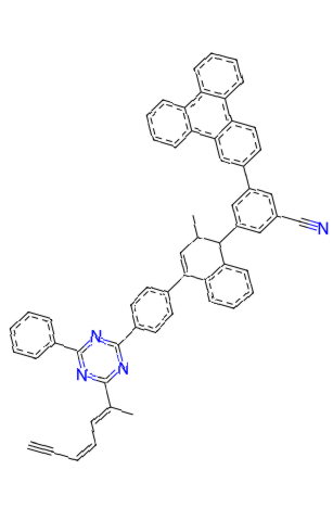 C#C/C=C\C=C(/C)c1nc(-c2ccccc2)nc(-c2ccc(C3=CC(C)C(c4cc(C#N)cc(-c5ccc6c7ccccc7c7ccccc7c6c5)c4)c4ccccc43)cc2)n1